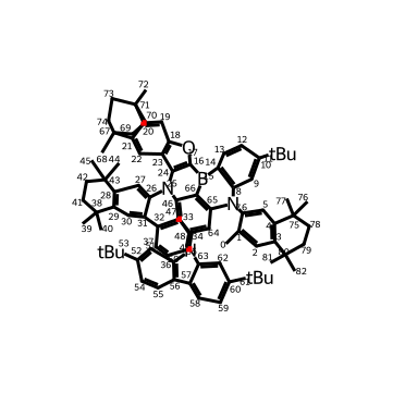 Cc1cc2c(cc1N1c3cc(C(C)(C)C)ccc3B3c4oc5cc6c(cc5c4N(c4cc5c(cc4-c4ccccc4)C(C)(C)CCC5(C)C)c4cc(-n5c7cc(C(C)(C)C)ccc7c7ccc(C(C)(C)C)cc75)cc1c43)C1(C)CCC6(C)CC1)C(C)(C)CCC2(C)C